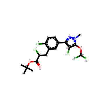 Cn1nc(-c2ccc(Cl)c(CC(Cl)C(=O)OC(C)(C)C)c2)c(Cl)c1OC(F)F